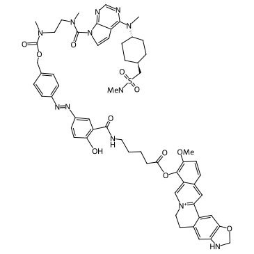 CNS(=O)(=O)C[C@H]1CC[C@H](N(C)c2ncnc3c2ccn3C(=O)N(C)CCN(C)C(=O)OCc2ccc(/N=N/c3ccc(O)c(C(=O)NCCCCC(=O)Oc4c(OC)ccc5cc6[n+](cc45)CCc4cc5c(cc4-6)OCN5)c3)cc2)CC1